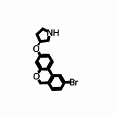 Brc1ccc2c(c1)-c1ccc(O[C@H]3CCNC3)cc1OC2